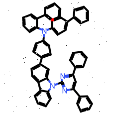 c1ccc(-c2ccc(N(c3ccc(-c4ccc5c6ccccc6n(-c6nc(-c7ccccc7)cc(-c7ccccc7)n6)c5c4)cc3)c3ccccc3-c3ccccc3)cc2)cc1